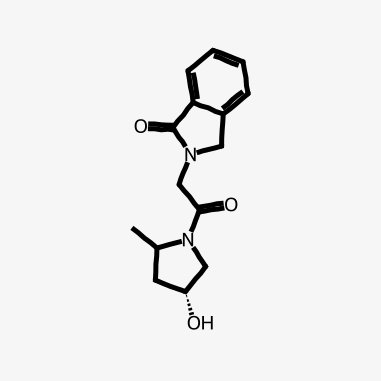 CC1C[C@@H](O)CN1C(=O)CN1Cc2ccccc2C1=O